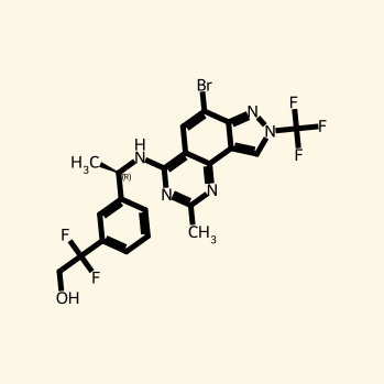 Cc1nc(N[C@H](C)c2cccc(C(F)(F)CO)c2)c2cc(Br)c3nn(C(F)(F)F)cc3c2n1